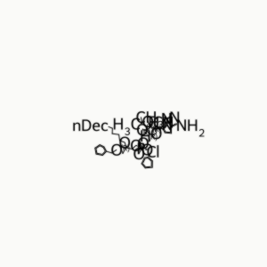 CCCCCCCCCCCCCCO[C@H](COCc1ccccc1)COP(=O)(OC[C@H]1O[C@@](C#N)(c2ccc3c(N)ncnn23)[C@@H]2OC(C)(C)O[C@@H]21)Oc1ccccc1Cl